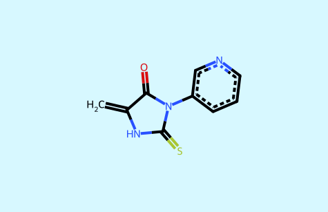 C=C1NC(=S)N(c2cccnc2)C1=O